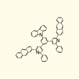 c1ccc(-c2cc(-c3cc(-c4cc(-c5ccccc5)nc(-c5ccc6cc7ccccc7cc6c5)c4)cc(-n4c5ccccc5c5ccccc54)c3)cc(-c3ccc4cc5ccccc5cc4c3)n2)cc1